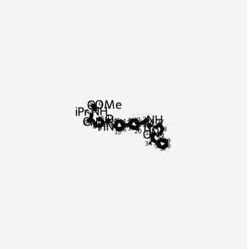 COC(=O)N[C@H](C(=O)N1CC[C@H](C(=O)Nc2ccc(-c3ccc(-c4c[nH]c([C@@H]5CCCN5C(=O)[C@H](C)c5ccccc5)n4)cc3)cc2)C1)C(C)C